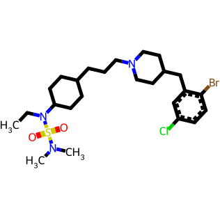 CCN(C1CCC(CCCN2CCC(Cc3cc(Cl)ccc3Br)CC2)CC1)S(=O)(=O)N(C)C